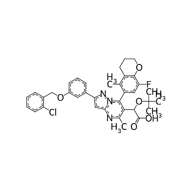 Cc1nc2cc(-c3cccc(OCc4ccccc4Cl)c3)nn2c(-c2cc(F)c3c(c2C)CCCO3)c1C(OC(C)(C)C)C(=O)O